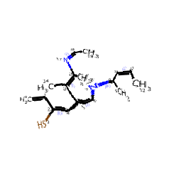 C=C\C(S)=C/C(=C/N=C(C)/C=C\C)C(/C)=C(C)/N=C\C